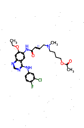 CCOc1cc2ncnc(Nc3ccc(F)c(Cl)c3)c2cc1NC(=O)/C=C/CN(C)CCCCOC(C)=O